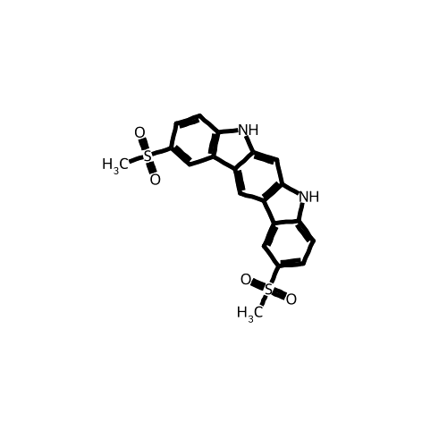 CS(=O)(=O)c1ccc2[nH]c3cc4[nH]c5ccc(S(C)(=O)=O)cc5c4cc3c2c1